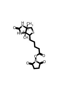 C[C@@]12CSC(CCCCC(=O)ON3C(=O)CCC3=O)[C@]1(C)NC(=O)N2